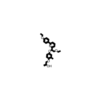 C=C(O)COc1ccc(OC(COCC)c2cccc(-c3ccc(OCC)cc3)n2)cc1C